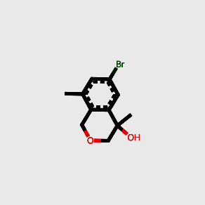 Cc1cc(Br)cc2c1COCC2(C)O